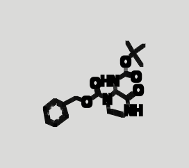 CC(C)(C)OC(=O)NC1C(=O)NC=CN1C(=O)OCc1ccccc1